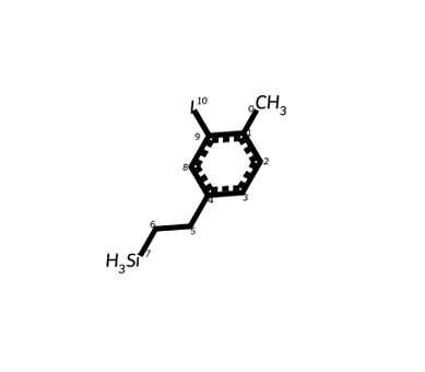 Cc1ccc(CC[SiH3])cc1I